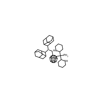 PC(C1CCCCN1)(C1CCCCN1)[C]12[CH]3[CH]4[CH]5[C]1(CP(C1C6CC7CC(C6)CC1C7)C1C6CC7CC(C6)CC1C7)[Fe]45321678[CH]2[CH]1[CH]6[CH]7[CH]28